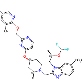 C[C@H](Cn1c(CN2CC[C@H](Oc3ccnc(COc4ncc(F)cc4C#N)n3)C[C@@H]2C)nc2ccc(C(=O)O)cc21)OC(F)F